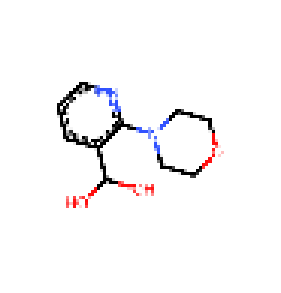 OC(O)c1cccnc1N1CCOCC1